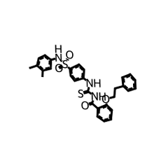 Cc1ccc(NS(=O)(=O)c2ccc(NC(=S)NC(=O)c3ccccc3OCCc3ccccc3)cc2)cc1C